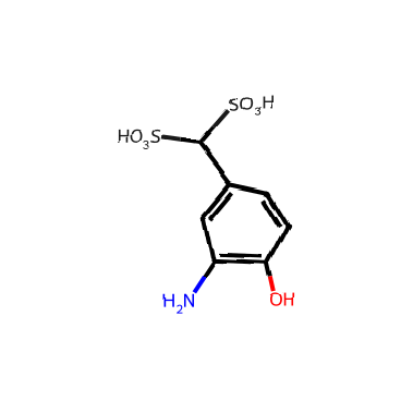 Nc1cc(C(S(=O)(=O)O)S(=O)(=O)O)ccc1O